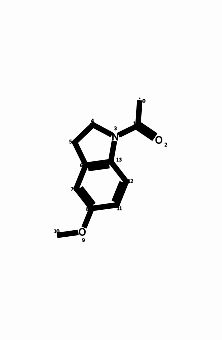 [CH2]C(=O)N1CCc2cc(OC)ccc21